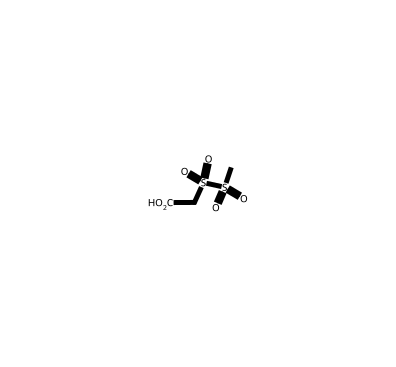 CS(=O)(=O)S(=O)(=O)CC(=O)O